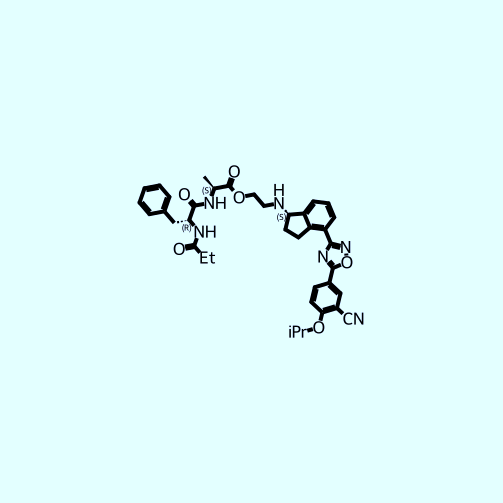 CCC(=O)N[C@H](Cc1ccccc1)C(=O)N[C@@H](C)C(=O)OCCN[C@H]1CCc2c(-c3noc(-c4ccc(OC(C)C)c(C#N)c4)n3)cccc21